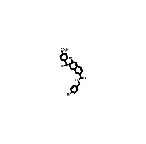 O=C(O)c1ccc(C(O)c2cc3cc(C(=O)NCc4ccc(Br)cc4)ccc3cc2O)cc1